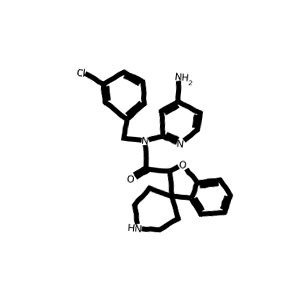 Nc1ccnc(N(Cc2cccc(Cl)c2)C(=O)C2Oc3ccccc3C23CCNCC3)c1